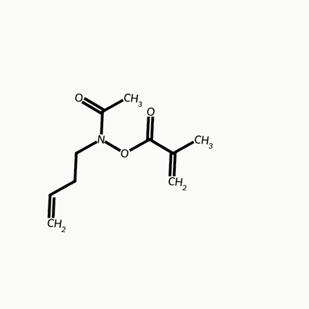 C=CCCN(OC(=O)C(=C)C)C(C)=O